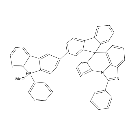 CO[PH]1(c2ccccc2)c2ccccc2-c2cc(-c3ccc4c(c3)C3(c5ccccc5-4)c4ccccc4-n4c(-c5ccccc5)nc5cccc3c54)ccc21